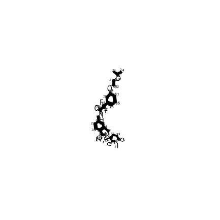 B[C@]1(N2Cc3cc(CNC(=O)C(F)(F)c4cccc(OCCOC(C)C)c4)ccc3C2=O)CCC(=O)NC1=O